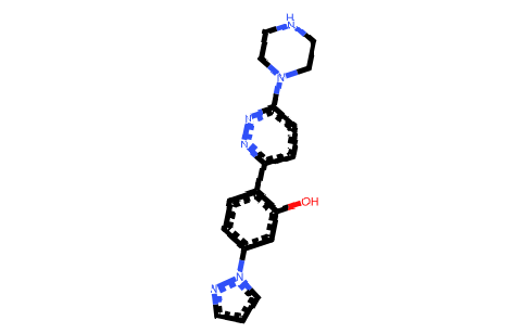 Oc1cc(-n2cccn2)ccc1-c1ccc(N2CCNCC2)nn1